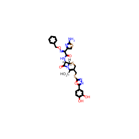 Nc1nc(C(=NOCc2ccccc2)C(=O)N[C@@H]2C(=O)N3C(C(=O)O)=C(CSc4nnc(-c5ccc(O)c(O)c5)o4)CS[C@@H]23)cs1